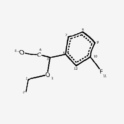 CCOC(C[O])c1cccc(F)c1